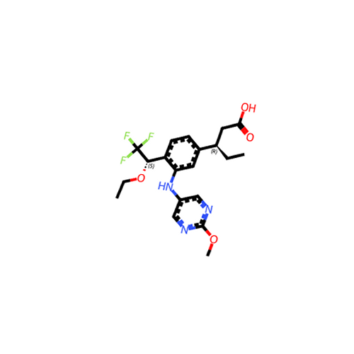 CCO[C@@H](c1ccc([C@H](CC)CC(=O)O)cc1Nc1cnc(OC)nc1)C(F)(F)F